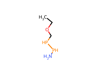 CCOCPPN